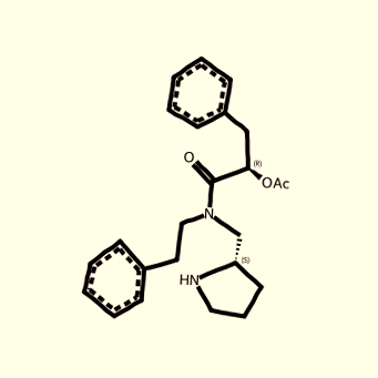 CC(=O)O[C@H](Cc1ccccc1)C(=O)N(CCc1ccccc1)C[C@@H]1CCCN1